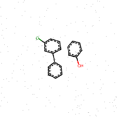 Clc1cccc(-c2ccccc2)c1.Oc1ccccc1